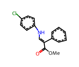 COC(=O)C(=CNc1ccc(Cl)cc1)c1ccccc1